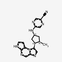 C[C@@H]1C[C@H](Nc2cnc(C#N)cn2)C[C@@H]1c1cnc2cnc3[nH]ccc3n12